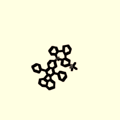 C[Si](C)(C)c1ccc2c(c1)-c1ccccc1-c1ccccc1N2c1ccc2c(-c3ccccc3)c3c(c(-c4ccccc4)c2c1)-c1cccc2cccc-3c12